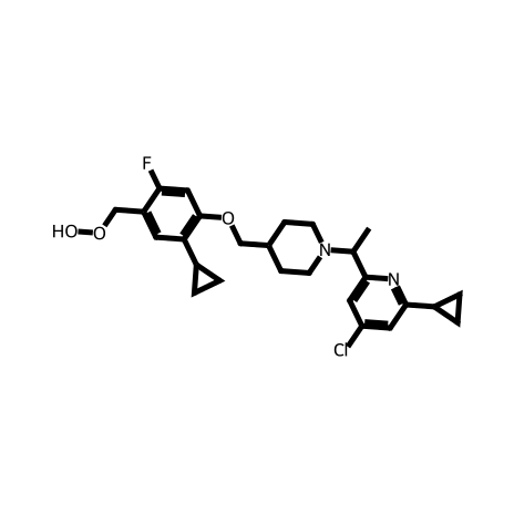 CC(c1cc(Cl)cc(C2CC2)n1)N1CCC(COc2cc(F)c(COO)cc2C2CC2)CC1